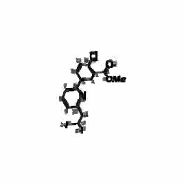 COC(=O)c1cc(-c2cccc(CC(F)F)n2)ccc1Cl